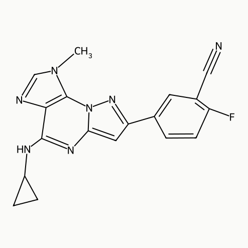 Cn1cnc2c(NC3CC3)nc3cc(-c4ccc(F)c(C#N)c4)nn3c21